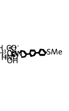 CSc1ccc(-c2ccc(C3=CCN(CCC(C)(C(=O)NO)[S+](C)[O-])CC3)cc2)cc1